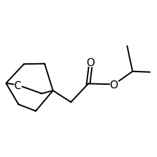 CC(C)OC(=O)CC12CCC(CC1)CC2